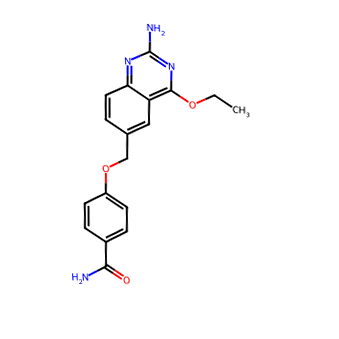 CCOc1nc(N)nc2ccc(COc3ccc(C(N)=O)cc3)cc12